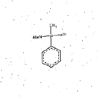 CCC[Si](C)(NC)c1ccccc1